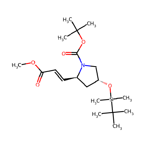 COC(=O)/C=C/[C@@H]1C[C@@H](O[Si](C)(C)C(C)(C)C)CN1C(=O)OC(C)(C)C